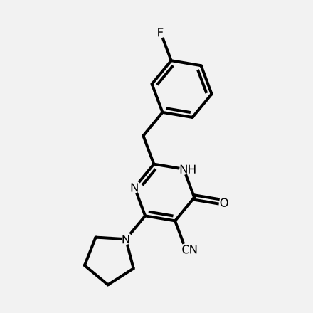 N#Cc1c(N2CCCC2)nc(Cc2cccc(F)c2)[nH]c1=O